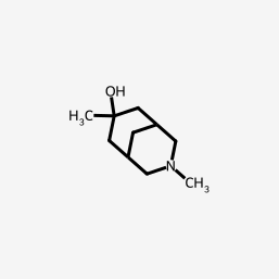 CN1CC2CC(C1)CC(C)(O)C2